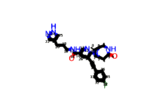 C[C@@H]1CC2CC(=O)NCC1N2c1ncc(C(=O)NCCCc2cn[nH]c2)cc1C#Cc1ccc(F)cc1